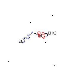 CC/C=C\C/C=C\C/C=C\C/C=C\C/C=C\CCCC(=O)O[C@@H]1COc2ccc(C=O)cc2OC1